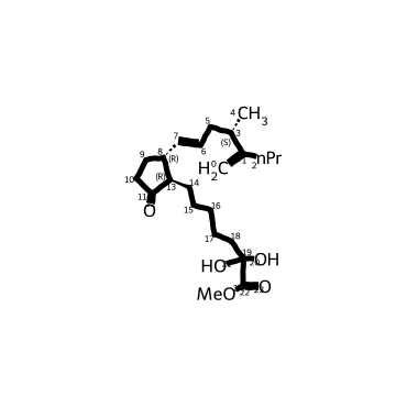 C=C(CCC)[C@@H](C)CC=C[C@H]1CCC(=O)[C@@H]1CCCCCC(O)(O)C(=O)OC